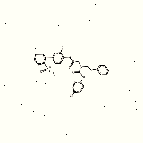 CS(=O)(=O)c1ccccc1-c1ccc(NC(=O)CN(CCc2ccccc2)C(=O)Nc2ccc(Cl)cc2)c(F)c1